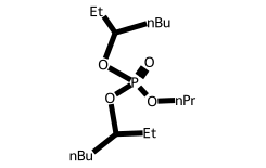 CCCCC(CC)OP(=O)(OCCC)OC(CC)CCCC